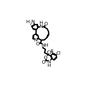 C[C@]1(CCCNC(=O)C2C/C=C\CCC(=O)Nc3cc(N)ccc3-c3ccnc2c3)OC(=O)Nc2ccc(Cl)c(F)c21